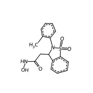 Cc1ccccc1N1C(CC(=O)NO)c2ccccc2S1(=O)=O